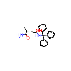 CC(CCC(O)NC(c1ccccc1)(c1ccccc1)c1ccccc1)C(N)=O